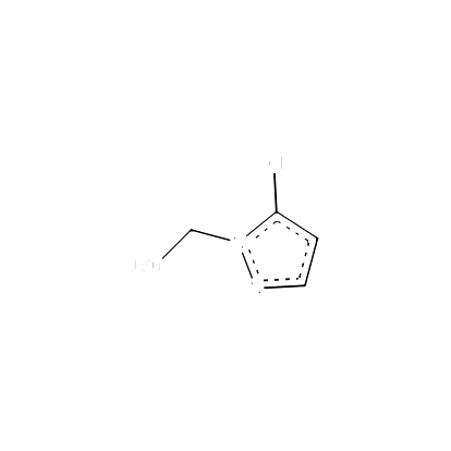 CC(C)(C)Cn1nccc1Cl